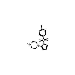 Cc1ccc(S(=O)(=O)n2cccc2N2CCN(C)CC2)cc1